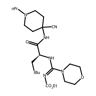 CCCN1CCC(C#N)(NC(=O)[C@H](CC(C)(C)C)N/C(=N/C(=O)OCC)N2CCOCC2)CC1